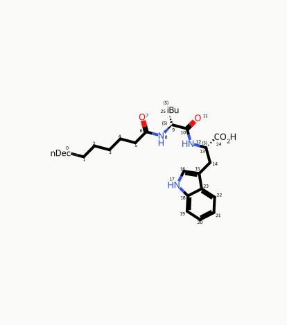 CCCCCCCCCCCCCCCC(=O)N[C@H](C(=O)N[C@@H](Cc1c[nH]c2ccccc12)C(=O)O)[C@@H](C)CC